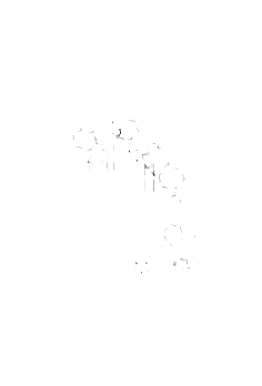 COC(=O)c1ccc(COc2cccc(NC(=O)Nc3cccnc3Oc3ccccc3C(C)(C)C)c2)cc1